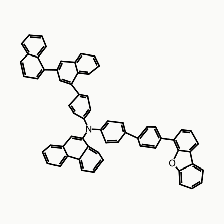 c1ccc2c(-c3cc(-c4ccc(N(c5ccc(-c6ccc(-c7cccc8c7oc7ccccc78)cc6)cc5)c5cc6ccccc6c6ccccc56)cc4)c4ccccc4c3)cccc2c1